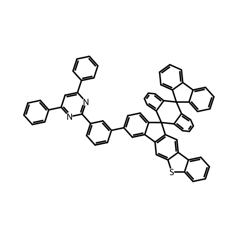 c1ccc(-c2cc(-c3ccccc3)nc(-c3cccc(-c4ccc5c(c4)-c4cc6sc7ccccc7c6cc4C54c5ccccc5C5(c6ccccc6-c6ccccc65)c5ccccc54)c3)n2)cc1